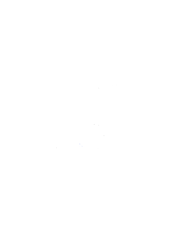 CC(=O)CN1CCC2(CC(OC(C)C)C2)C1